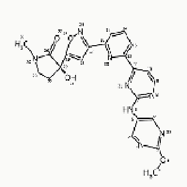 COc1ncc(Nc2nccc(-c3cccc(-c4cc([C@]5(O)CCN(C)C5=O)on4)n3)n2)cn1